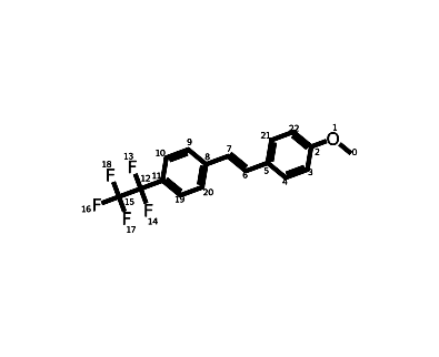 COc1ccc(/C=C/c2ccc(C(F)(F)C(F)(F)F)cc2)cc1